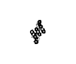 c1ccc2c(c1)Sc1cc3c(cc1N2c1c2ccccc2c(N2c4ccccc4Sc4cc5c(cc42)oc2ccccc25)c2ccccc12)oc1ccccc13